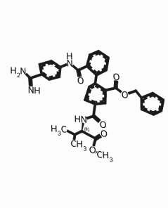 COC(=O)[C@H](NC(=O)c1ccc(-c2ccccc2C(=O)Nc2ccc(C(=N)N)cc2)c(C(=O)OCc2ccccc2)c1)C(C)C